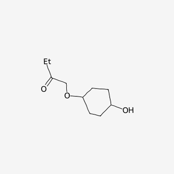 CCC(=O)COC1CCC(O)CC1